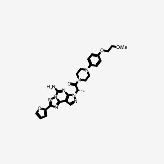 COCCOc1ccc(N2CCN(C(=O)[C@H](C)n3ncc4c3nc(N)n3nc(-c5ccco5)nc43)CC2)cc1